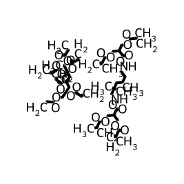 C=C(C)C(=O)OCC(COC(=O)C(=C)C)C(=O)ONCCC(C)CC(C)(C)CNOC(=O)C(COC(=O)C(=C)C)COC(=O)C(=C)C.C=CC(=O)OCC(CC(=O)CC(OC(=O)C=C)(OC(=O)C=C)C(C)OC(=O)C=C)(OC(=O)C=C)OC(=O)C=C